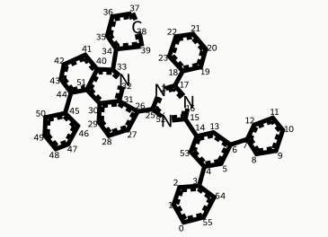 c1ccc(-c2cc(-c3ccccc3)cc(-c3nc(-c4ccccc4)nc(-c4cccc5c4nc(-c4ccccc4)c4cccc(-c6ccccc6)c45)n3)c2)cc1